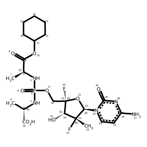 C[C@H](NP(=O)(N[C@@H](C)C(=O)OC1CCCCC1)OC[C@@]1(F)O[C@@H](n2ccc(N)nc2=O)[C@](C)(F)[C@@H]1O)C(=O)O